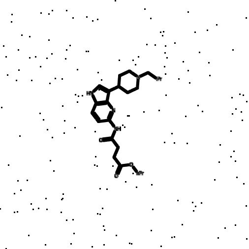 CCCOC(=O)CCC(=O)Nc1ccc2[nH]cc(C3CCN(CC(C)C)CC3)c2n1